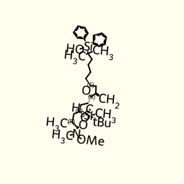 C=C1C[C@H](CCCCC(C)(C)[Si](O)(c2ccccc2)c2ccccc2)O[C@H]1CC[C@H](C[C@@H](C)C(=O)N(C)OC)O[Si](C)(C)C(C)(C)C